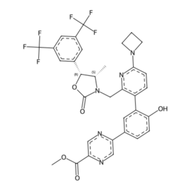 COC(=O)c1cnc(-c2ccc(O)c(-c3ccc(N4CCC4)nc3CN3C(=O)O[C@H](c4cc(C(F)(F)F)cc(C(F)(F)F)c4)[C@@H]3C)c2)cn1